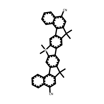 CC1(C)c2cc3c(cc2-c2c1cc(C#N)c1ccccc21)S(C)(C)c1cc2c(cc1-3)C(C)(C)c1cc(C#N)c3ccccc3c1-2